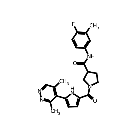 Cc1cc(NC(=O)C2CCN(C(=O)c3ccc(-c4c(C)cnnc4C)[nH]3)C2)ccc1F